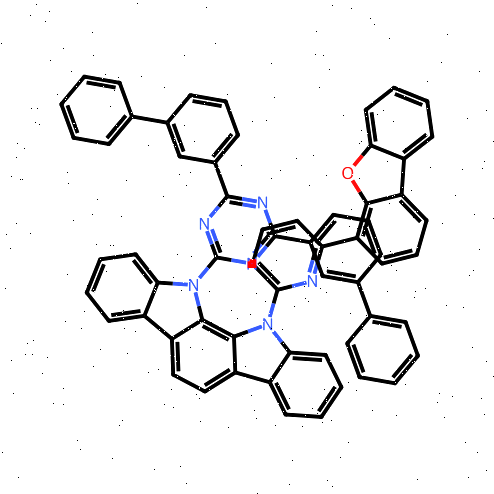 c1ccc(-c2cccc(-c3nc(-c4cccc(-c5ccccc5)c4)nc(-n4c5ccccc5c5ccc6c7ccccc7n(-c7cccc(-c8cccc9c8oc8ccccc89)n7)c6c54)n3)c2)cc1